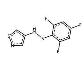 Fc1cc(F)c(SNc2cnsc2)c(F)c1